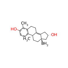 B[C@@]12CC[C@]3(C)C(=C1C[C@H](O)C2)CCc1c3ccc(O)c1C